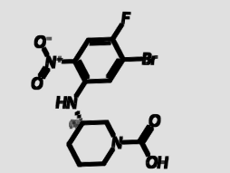 O=C(O)N1CCC[C@H](Nc2cc(Br)c(F)cc2[N+](=O)[O-])C1